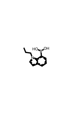 CCCn1ccc2cccc(B(O)O)c21